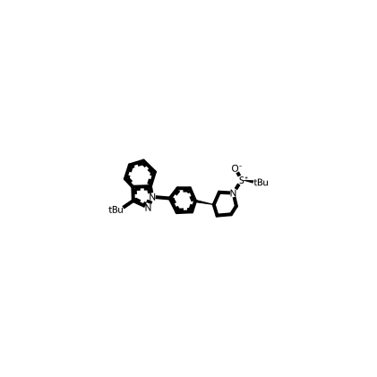 CC(C)(C)c1nn(-c2ccc([C@@H]3CCCN([S@@+]([O-])C(C)(C)C)C3)cc2)c2ccccc12